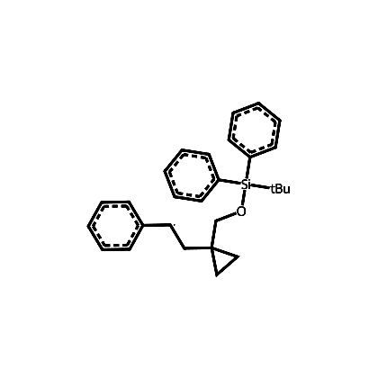 CC(C)(C)[Si](OCC1(C[CH]c2ccccc2)CC1)(c1ccccc1)c1ccccc1